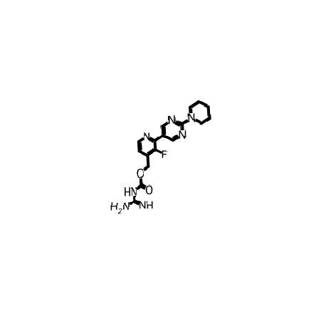 N=C(N)NC(=O)OCc1ccnc(-c2cnc(N3CCCCC3)nc2)c1F